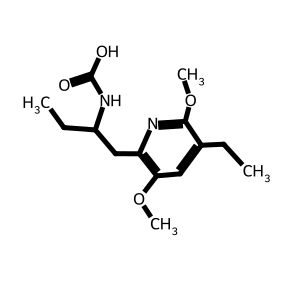 CCc1cc(OC)c(CC(CC)NC(=O)O)nc1OC